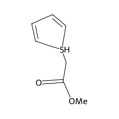 COC(=O)C[SH]1C=CC=C1